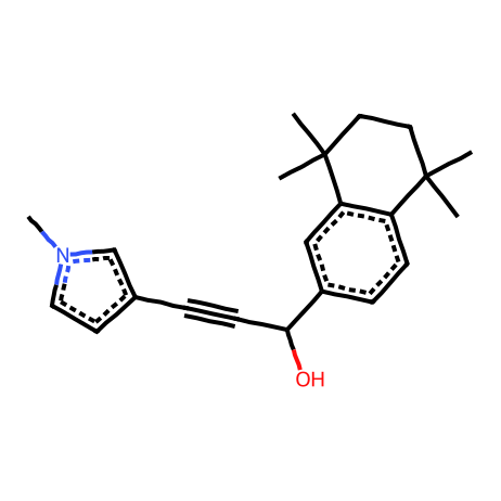 Cn1ccc(C#CC(O)c2ccc3c(c2)C(C)(C)CCC3(C)C)c1